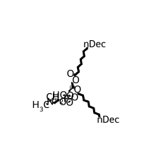 C=[N+](C)CCOP(=O)(O)OC[C@@H](COC(=O)CCCCCCCCCCCCCCCCC)OC(=O)CCCCCCCCCCCCCCCCC